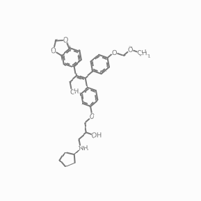 CCC(=C(c1ccc(OCOC)cc1)c1ccc(OCC(O)CNC2CCCC2)cc1)c1ccc2c(c1)OCO2